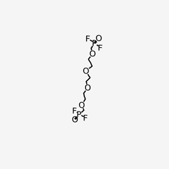 O=P(F)(F)COCCOCCOCCOCP(=O)(F)F